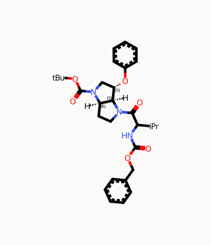 CC(C)C(NC(=O)OCc1ccccc1)C(=O)N1CC[C@@H]2[C@H]1[C@@H](Oc1ccccc1)CN2C(=O)OC(C)(C)C